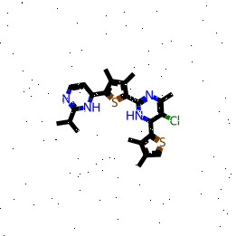 CC1=C(Cl)C(c2scc(C)c2C)NC(c2sc(C3C=CN=C(C(C)C)N3)c(C)c2C)=N1